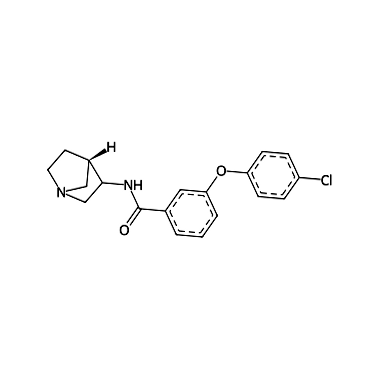 O=C(NC1CN2CC[C@H]1C2)c1cccc(Oc2ccc(Cl)cc2)c1